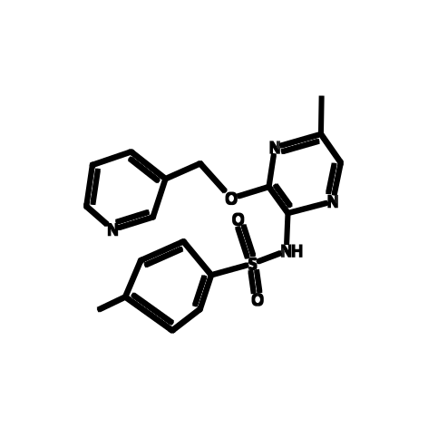 Cc1ccc(S(=O)(=O)Nc2ncc(C)nc2OCc2cccnc2)cc1